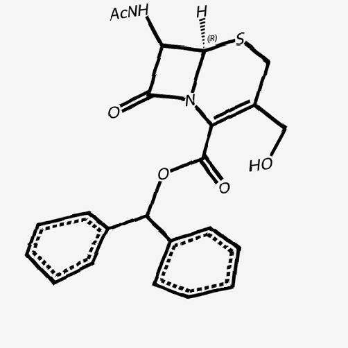 CC(=O)NC1C(=O)N2C(C(=O)OC(c3ccccc3)c3ccccc3)=C(CO)CS[C@H]12